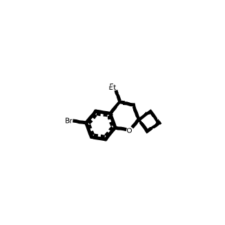 CCC1CC2(CCC2)Oc2ccc(Br)cc21